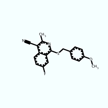 COc1ccc(CSc2nc(C)c(C#N)c3ccc(F)cc23)cc1